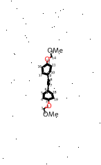 COCOc1ccc(C#Cc2ccc(OCOC)cc2)cc1